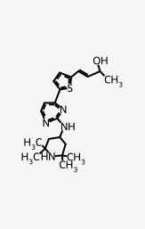 CC(O)C=Cc1ccc(-c2ccnc(NC3CC(C)(C)NC(C)(C)C3)n2)s1